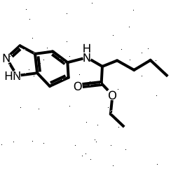 CCCCC(Nc1ccc2[nH]ncc2c1)C(=O)OCC